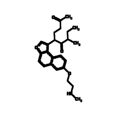 CCC(C)C(=O)C(CCC(C)=O)c1coc2ccc3cc(OCCNC)ccc3c12